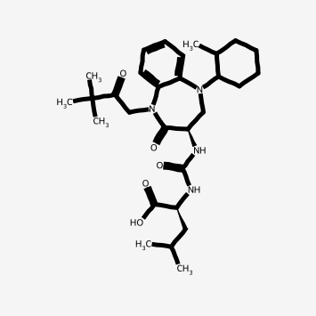 CC(C)C[C@H](NC(=O)N[C@@H]1CN(C2CCCCC2C)c2ccccc2N(CC(=O)C(C)(C)C)C1=O)C(=O)O